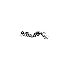 CCN(CCCN(CC(=O)O[C@H]1CC[C@@]2(C)C(=CC[C@H]3[C@@H]4CC[C@H]([C@H](C)CCCC(C)C)[C@@]4(C)CC[C@@H]32)C1)Cc1ccccc1)Cc1ccccc1